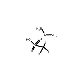 O=S(=O)(O)C(F)(F)F.[SiH3]O[SiH3]